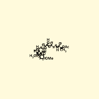 COc1ccc2c3c1O[C@H]1C(OC(=O)[C@H](O)OC(=O)CCNC(=O)[C@H](C)OC(C)=O)=CC[C@@]4(O)[C@@H](C2)N(C)CC[C@]314